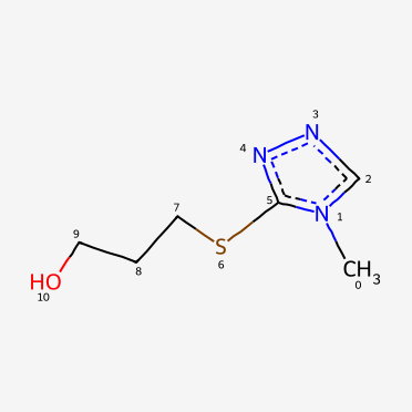 Cn1cnnc1SCCCO